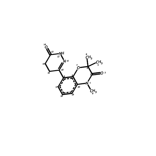 CN1C(=O)C(C)(C)Oc2c(C3=NNC(=O)CC3)cccc21